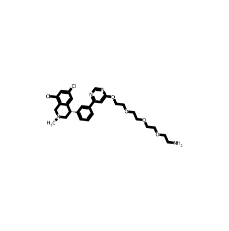 CN1Cc2c(Cl)cc(Cl)cc2[C@H](c2cccc(-c3cc(OCCOCCOCCOCCN)ncn3)c2)C1